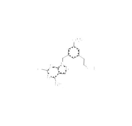 COc1cc(CCO)cc(Cn2ncc3c(N)nc(Cl)nc32)c1